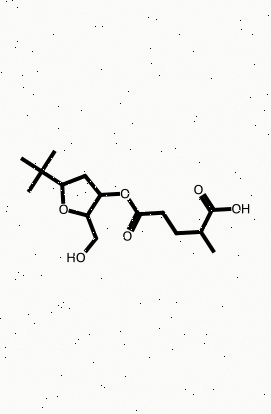 CC(CCC(=O)OC1CC(C(C)(C)C)OC1CO)C(=O)O